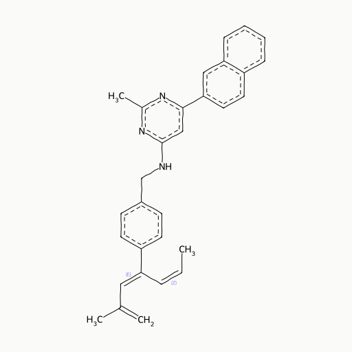 C=C(C)/C=C(\C=C/C)c1ccc(CNc2cc(-c3ccc4ccccc4c3)nc(C)n2)cc1